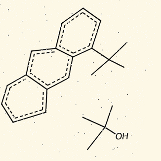 CC(C)(C)O.CC(C)(C)c1cccc2cc3ccccc3cc12